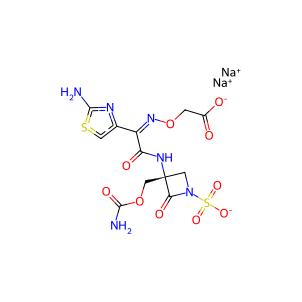 NC(=O)OC[C@@]1(NC(=O)/C(=N\OCC(=O)[O-])c2csc(N)n2)CN(S(=O)(=O)[O-])C1=O.[Na+].[Na+]